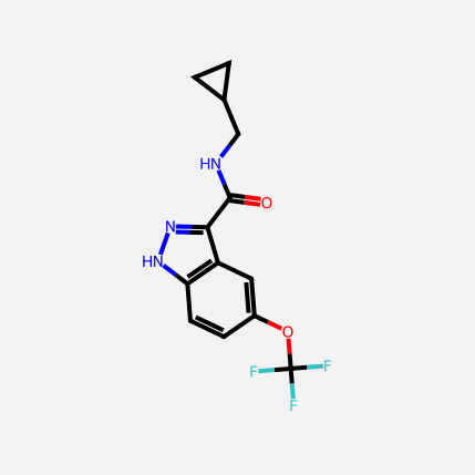 O=C(NCC1CC1)c1n[nH]c2ccc(OC(F)(F)F)cc12